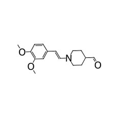 COc1ccc(C=CN2CCC(C=O)CC2)cc1OC